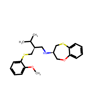 COc1ccccc1SC[C@H](CN[C@@H]1COc2ccccc2SC1)C(C)C